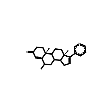 CC1CC2C(CC[C@]3(C)C(c4cccnc4)=CCC23)[C@@]2(C)CCC(=O)C=C12